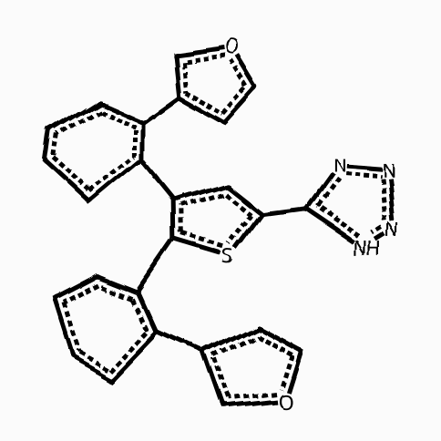 c1ccc(-c2cc(-c3nnn[nH]3)sc2-c2ccccc2-c2ccoc2)c(-c2ccoc2)c1